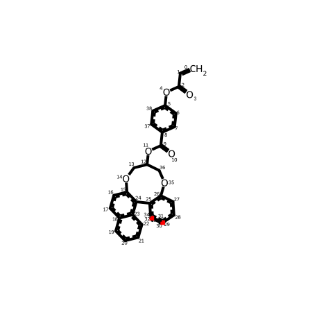 C=CC(=O)Oc1ccc(C(=O)OC2COc3ccc4ccccc4c3-c3c(ccc4ccccc34)OC2)cc1